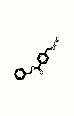 O=C=NCc1ccc(C(=O)OCc2ccccc2)cc1